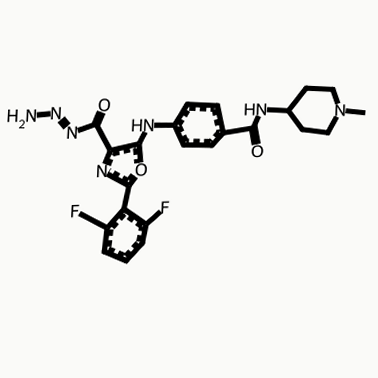 CN1CCC(NC(=O)c2ccc(Nc3oc(-c4c(F)cccc4F)nc3C(=O)N=NN)cc2)CC1